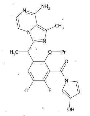 Cc1nc(C(C)c2cc(Cl)c(F)c(C(=O)n3ccc(O)c3)c2OC(C)C)n2ccnc(N)c12